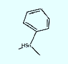 [CH3][SnH]([CH3])[c]1cc[c]cc1